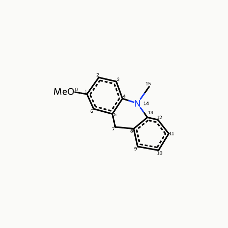 COc1ccc2c(c1)Cc1ccccc1N2C